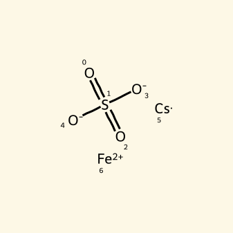 O=S(=O)([O-])[O-].[Cs].[Fe+2]